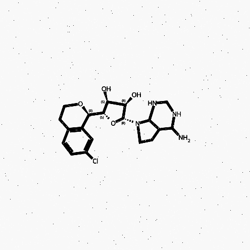 NC1NCNC2C1CCN2[C@@H]1O[C@H]([C@@H]2OCCc3ccc(Cl)cc32)[C@@H](O)[C@H]1O